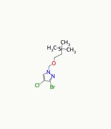 C[Si](C)(C)CCOCn1cc(Cl)c(Br)n1